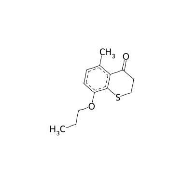 CCCOc1ccc(C)c2c1SCCC2=O